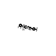 Fc1cccc(-c2nc3c([nH]2)C=NN(Cc2cc(-c4ccc(C(F)F)cc4)no2)C3)c1F